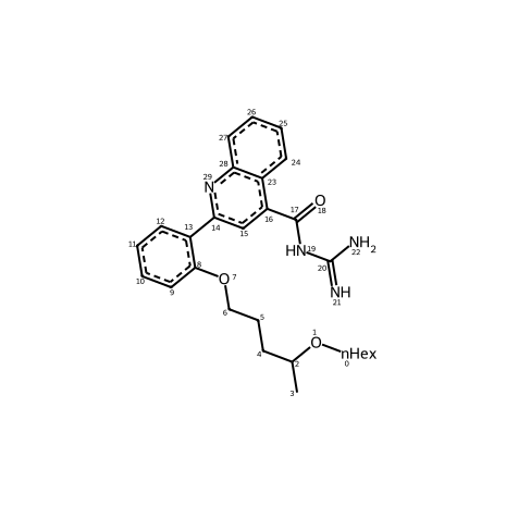 CCCCCCOC(C)CCCOc1ccccc1-c1cc(C(=O)NC(=N)N)c2ccccc2n1